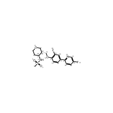 CS(=O)(=O)N[C@H]1CCOC[C@@H]1COc1ccc(-c2ccc(F)cn2)cc1F